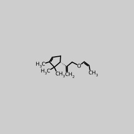 C=C(CO/C=C\C)[C@H]1CC=C(C)C1(C)C